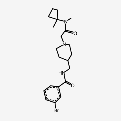 CN(C(=O)CN1CCC(CNC(=O)c2cccc(Br)c2)CC1)C1(C)CCC1